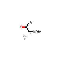 CC[C@H](C)[C@H](NC)C(=O)C(C)C